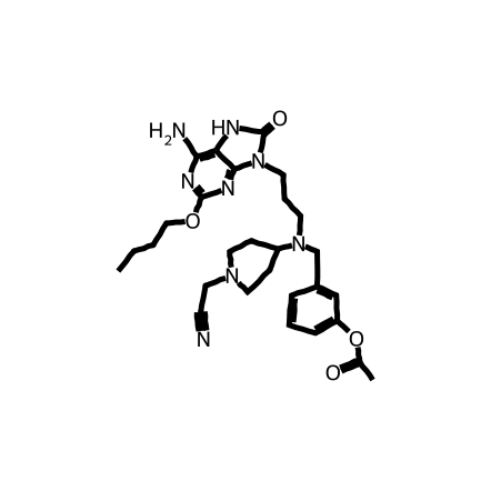 CCCCOc1nc(N)c2[nH]c(=O)n(CCCN(Cc3cccc(OC(C)=O)c3)C3CCN(CC#N)CC3)c2n1